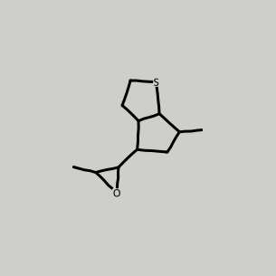 CC1CC(C2OC2C)C2CCSC12